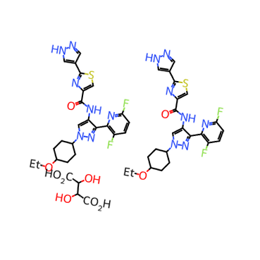 CCOC1CCC(n2cc(NC(=O)c3csc(-c4cn[nH]c4)n3)c(-c3nc(F)ccc3F)n2)CC1.CCOC1CCC(n2cc(NC(=O)c3csc(-c4cn[nH]c4)n3)c(-c3nc(F)ccc3F)n2)CC1.O=C(O)C(O)C(O)C(=O)O